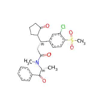 C[C@H](C(=O)c1ccccc1)N(C)C(=O)C[C@@H](c1ccc(S(C)(=O)=O)c(Cl)c1)C1CCCC1=O